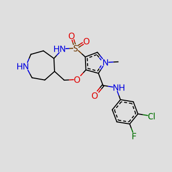 Cn1cc2c(c1C(=O)Nc1ccc(F)c(Cl)c1)OCC1CCNCCC1NS2(=O)=O